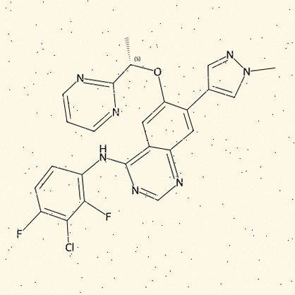 C[C@H](Oc1cc2c(Nc3ccc(F)c(Cl)c3F)ncnc2cc1-c1cnn(C)c1)c1ncccn1